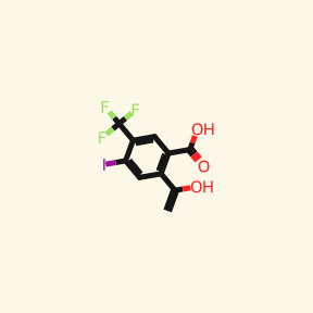 C=C(O)c1cc(I)c(C(F)(F)F)cc1C(=O)O